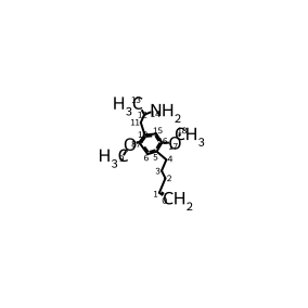 C=CCCCc1cc(OC)c(CC(C)N)cc1OC